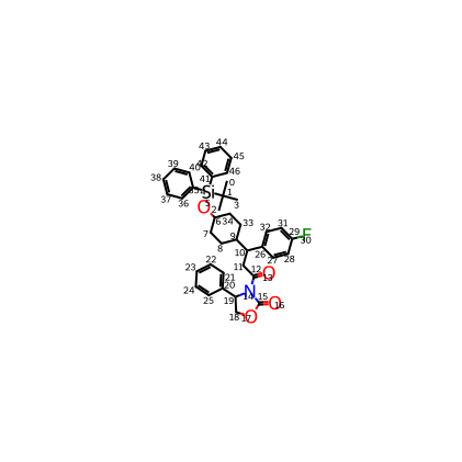 CC(C)(C)[Si](OC1CCC(C(CC(=O)N2C(=O)OCC2c2ccccc2)c2ccc(F)cc2)CC1)(c1ccccc1)c1ccccc1